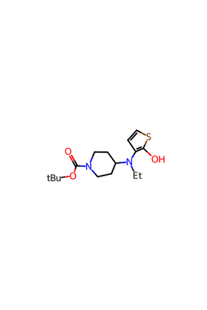 CCN(c1ccsc1O)C1CCN(C(=O)OC(C)(C)C)CC1